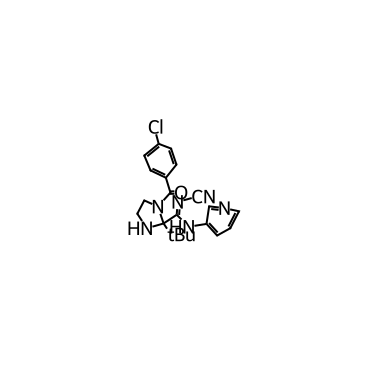 CC(C)(C)C1(C(=NC#N)Nc2cccnc2)NCCN1C(=O)c1ccc(Cl)cc1